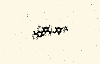 COc1cc(O)c2c(c1C(=O)NCc1c(C)cc(NS(C)(=O)=O)cc1C)OC1=CC(O)=C(C(C)=O)C(=O)[C@]12C